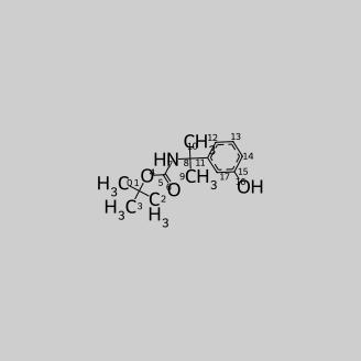 CC(C)(C)OC(=O)NC(C)(C)c1cccc(O)c1